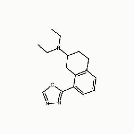 CCN(CC)C1CCc2cccc(-c3nnco3)c2C1